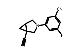 C#CC12CC1CN(c1cc(F)cc(C#N)c1)C2